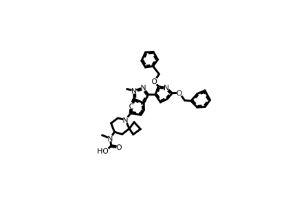 CN(C(=O)O)C1CCN(c2ccc3c(-c4ccc(OCc5ccccc5)nc4OCc4ccccc4)nn(C)c3c2)C2(CCC2)C1